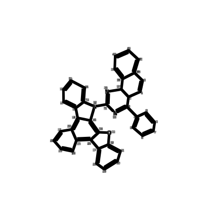 C1=CC2C(c3ccccc3)=NC(n3c4ccccc4c4c5ccccc5c5c6ccccc6oc5c43)=NC2c2ccccc21